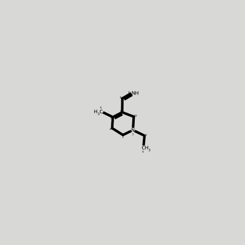 CCN1CCC(C)=C(C=N)C1